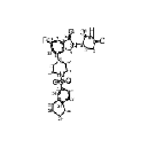 O=C1CCC(N2Cc3c(cc(F)cc3N3CCN(S(=O)(=O)c4ccc5c(c4)CCCC5)CC3)C2=O)C(=O)N1